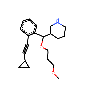 COCCCOC(c1ccccc1C#CC1CC1)C1CCCNC1